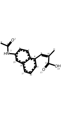 CC(=O)Nc1ccc2c(C=C(C)C(=O)O)cccc2c1